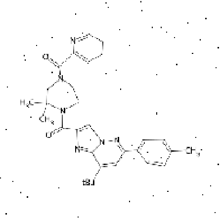 Cc1ccc(-c2cc(C(C)(C)C)c3nc(C(=O)N4CCN(C(=O)c5ccccn5)CC4(C)C)cn3n2)cc1